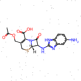 CC(=O)OCC1=C(C(=O)O)N2C(=O)C(Nc3nc4cc(N)ccc4[nH]3)[C@@H]2SC1